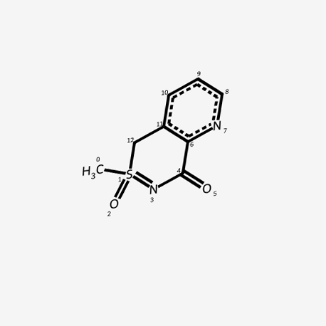 CS1(=O)=NC(=O)c2ncccc2C1